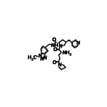 Cn1nnc2cc(CNC(=O)[C@@H]3C[C@@H](Cc4cccnc4)CN3C(=O)[C@H](N)CCC(=O)N3CCCC3)ccc21